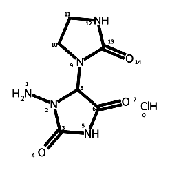 Cl.NN1C(=O)NC(=O)C1N1CCNC1=O